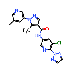 Cc1cncc(-n2ncc(C(=O)Nc3cnc(-n4nccn4)c(Cl)c3)c2C(F)(F)F)c1